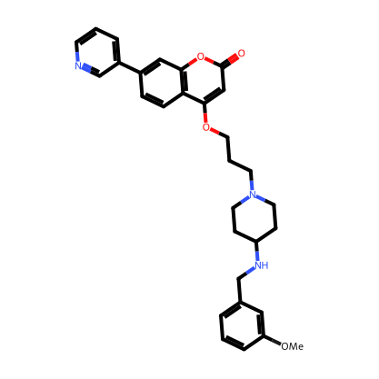 COc1cccc(CNC2CCN(CCCOc3cc(=O)oc4cc(-c5cccnc5)ccc34)CC2)c1